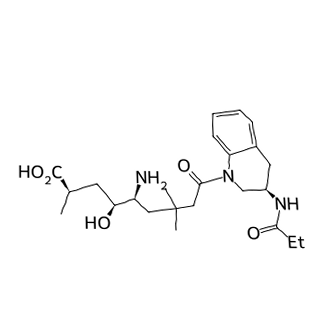 CCC(=O)N[C@@H]1Cc2ccccc2N(C(=O)CC(C)(C)C[C@H](N)[C@@H](O)C[C@@H](C)C(=O)O)C1